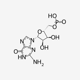 Nc1nc2c(ncn2[C@@H]2O[C@H](CO[P](=O)O)[C@@H](O)[C@H]2O)c(=O)[nH]1